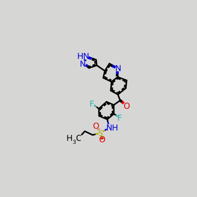 CCCS(=O)(=O)Nc1cc(F)cc(C(=O)c2ccc3ncc(-c4cn[nH]c4)cc3c2)c1F